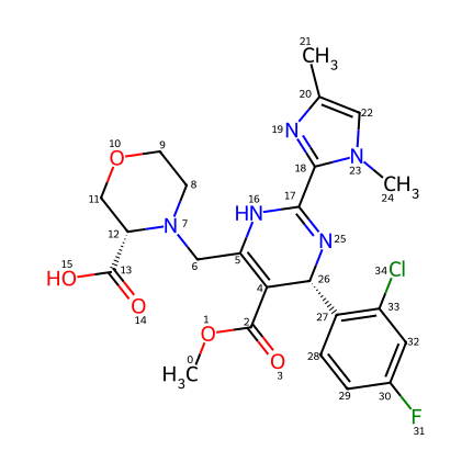 COC(=O)C1=C(CN2CCOC[C@H]2C(=O)O)NC(c2nc(C)cn2C)=N[C@@H]1c1ccc(F)cc1Cl